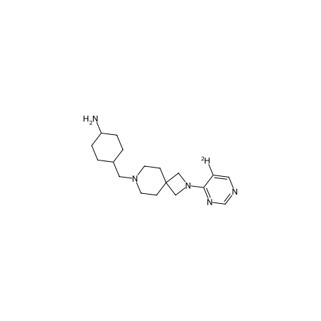 [2H]c1cncnc1N1CC2(CCN(CC3CCC(N)CC3)CC2)C1